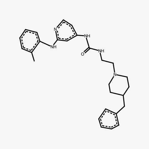 Cc1ccccc1Nc1cc(NC(=O)NCCN2CCC(Cc3ccccc3)CC2)ccn1